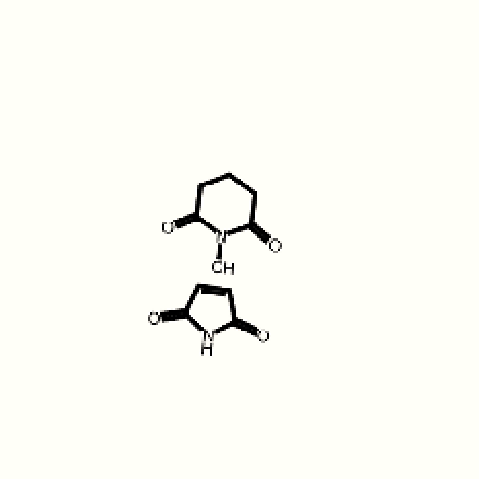 O=C1C=CC(=O)N1.O=C1CCCC(=O)N1O